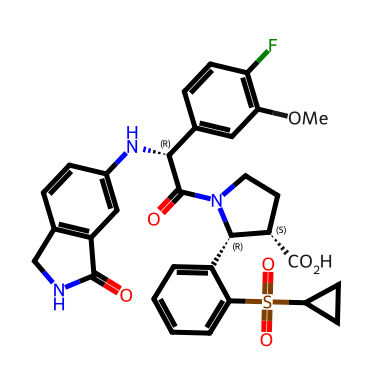 COc1cc([C@@H](Nc2ccc3c(c2)C(=O)NC3)C(=O)N2CC[C@H](C(=O)O)[C@@H]2c2ccccc2S(=O)(=O)C2CC2)ccc1F